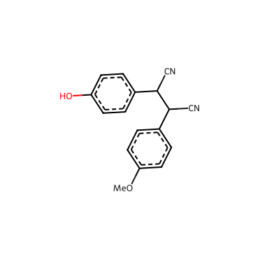 COc1ccc(C(C#N)C(C#N)c2ccc(O)cc2)cc1